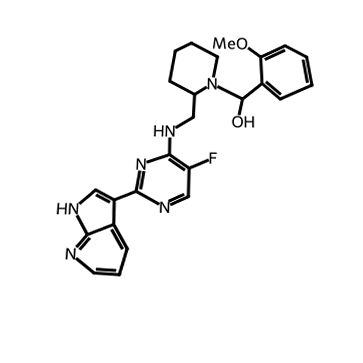 COc1ccccc1C(O)N1CCCCC1CNc1nc(-c2c[nH]c3ncccc23)ncc1F